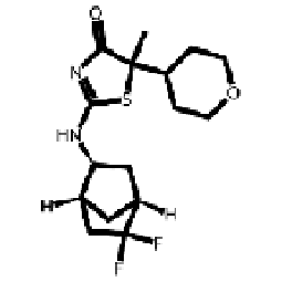 CC1(C2CCOCC2)SC(N[C@H]2C[C@H]3C[C@@H]2CC3(F)F)=NC1=O